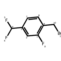 Fc1cc(C(F)F)ccc1CBr